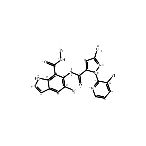 CC(C)NC(=O)c1c(NC(=O)c2cc(C(F)(F)F)nn2-c2ncccc2Cl)c(Br)cc2cn[nH]c12